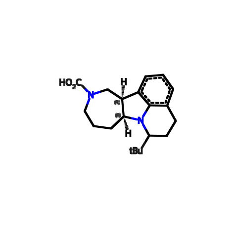 CC(C)(C)C1CCc2cccc3c2N1[C@H]1CCCN(C(=O)O)C[C@@H]31